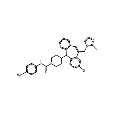 Cc1nccn1CC1=Cc2cccnc2C(C2CCN(C(=O)Nc3ccc(N)cc3)CC2)c2ccc(Cl)cc21